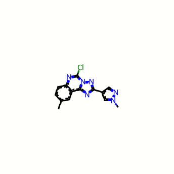 Cc1ccc2nc(Cl)n3nc(-c4cnn(C)c4)nc3c2c1